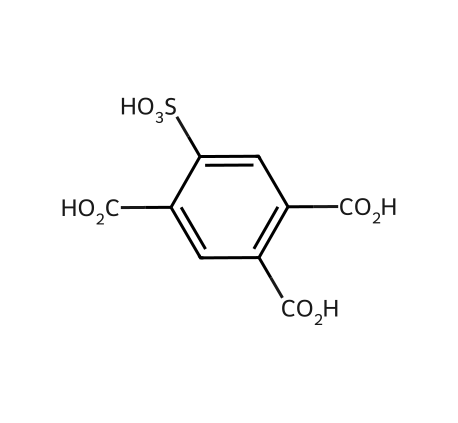 O=C(O)c1cc(C(=O)O)c(S(=O)(=O)O)cc1C(=O)O